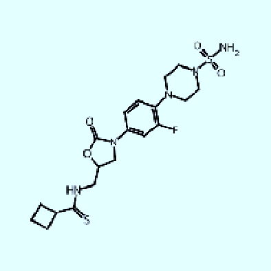 NS(=O)(=O)N1CCN(c2ccc(N3CC(CNC(=S)C4CCC4)OC3=O)cc2F)CC1